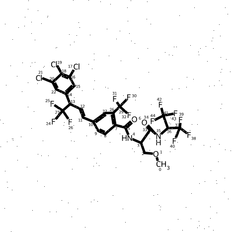 COCC(NC(=O)c1ccc(/C=C/C(c2cc(Cl)c(Cl)c(Cl)c2)C(F)(F)F)cc1C(F)(F)F)C(=O)NC(C(F)(F)F)C(F)(F)F